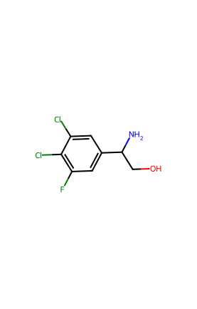 NC(CO)c1cc(F)c(Cl)c(Cl)c1